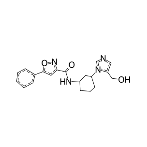 O=C(NC1CCCC(n2cncc2CO)C1)c1cc(-c2ccccc2)on1